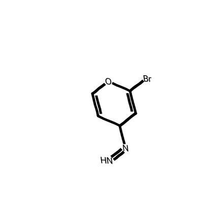 N=NC1C=COC(Br)=C1